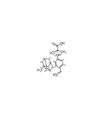 C=C(C)C(=O)O.C=Cc1ccc(O)cc1.CC12CC3CC(CC(C3)C1)C2